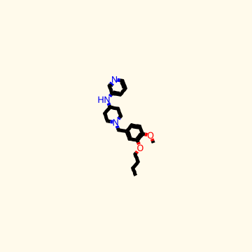 CCCCOc1cc(CN2CCC(Nc3cccnc3)CC2)ccc1OC